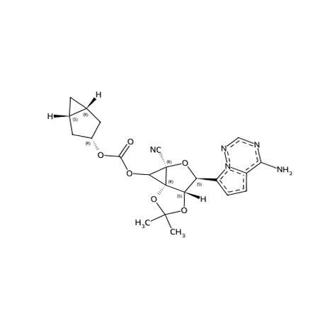 CC1(C)O[C@H]2[C@H](c3ccc4c(N)ncnn34)O[C@]3(C#N)C(OC(=O)O[C@@H]4C[C@@H]5C[C@@H]5C4)[C@]23O1